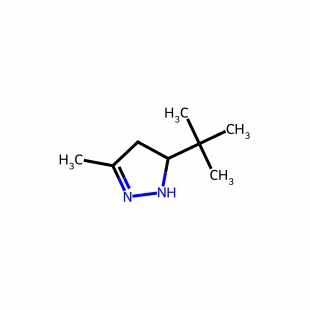 CC1=NNC(C(C)(C)C)C1